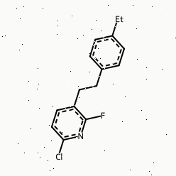 CCc1ccc(CCc2ccc(Cl)nc2F)cc1